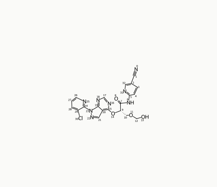 N#Cc1ccc(NC(=O)[C@H](COCO)Oc2ncnc3c2cnn3-c2ncccc2Cl)nc1